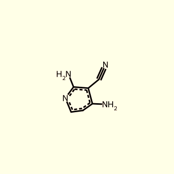 N#Cc1c(N)ccnc1N